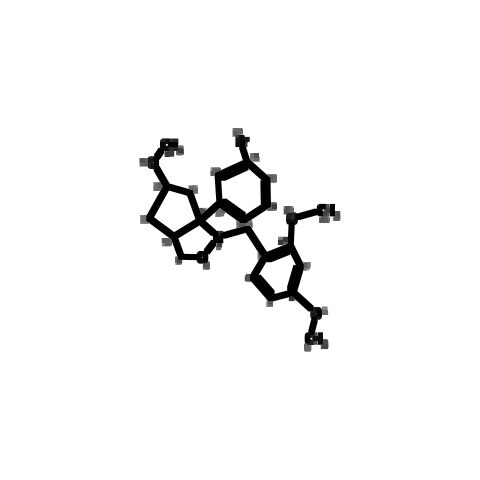 COc1ccc(CN2OCC3CC(OC)CC32c2cccc(Br)c2)c(OC)c1